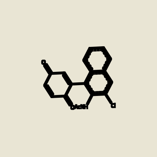 CC(=O)Nc1c(Cl)cc2ccccc2c1C1=CC(=O)C=CC1=O